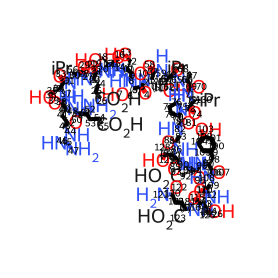 CC[C@H](C)[C@H](NC(=O)[C@H](CO)NC(=O)[C@H](CO)NC(=O)[C@H](CO)NC(=O)[C@H](CCC(=O)O)NC(=O)[C@@H](NC(=O)[C@H](CO)NC(=O)[C@H](CCCNC(=N)N)NC(=O)[C@@H](N)CCC(=O)O)C(C)C)C(=O)N[C@@H](CO)C(=O)N[C@@H](CC(C)C)C(=O)N[C@H](C(=O)N1CCC[C@H]1C(=O)NCC(=O)N[C@H](C(=O)N[C@@H](CC(=O)O)C(=O)N[C@@H](Cc1ccc(O)cc1)C(=O)NCC(=O)N[C@H](C(=O)N[C@@H](CCC(N)=O)C(=O)O)[C@@H](C)O)[C@@H](C)O)C(C)C